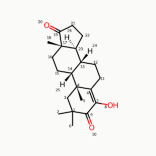 CC1(C)C[C@@]2(C)C(=C(O)C1=O)CC[C@@H]1[C@H]2CC[C@]2(C)C(=O)CC[C@@H]12